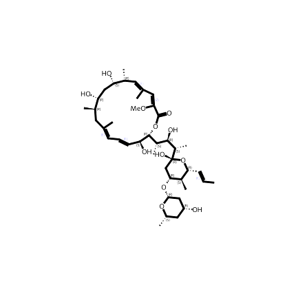 C/C=C/[C@H]1O[C@@](O)([C@@H](C)[C@H](O)[C@H](C)[C@H]2OC(=O)/C(OC)=C/C(C)=C/[C@@H](C)[C@@H](O)C[C@@H](O)[C@H](C)C/C(C)=C/C=C/[C@@H]2O)C[C@@H](O[C@@H]2C[C@H](O)C[C@H](C)O2)[C@@H]1C